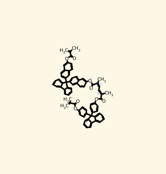 C=C(C)C(=O)Oc1ccc(C2(c3ccc(OC(=O)/C(C)=C/C=C(/C)C(=O)Oc4ccc5cc(C6(c7ccc8cc(OC(=O)C(=C)C)ccc8c7)c7ccccc7-c7ccccc76)ccc5c4)cc3)c3ccccc3-c3ccccc32)cc1